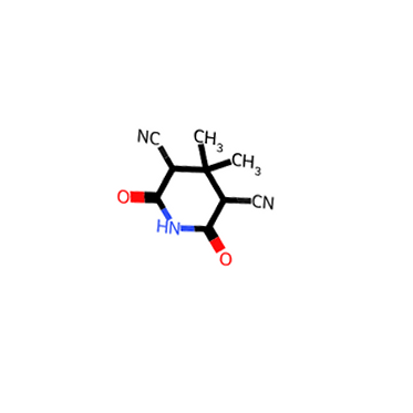 CC1(C)C(C#N)C(=O)NC(=O)C1C#N